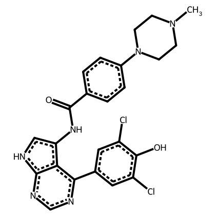 CN1CCN(c2ccc(C(=O)Nc3c[nH]c4ncnc(-c5cc(Cl)c(O)c(Cl)c5)c34)cc2)CC1